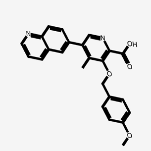 COc1ccc(COc2c(C(=O)O)ncc(-c3ccc4ncccc4c3)c2C)cc1